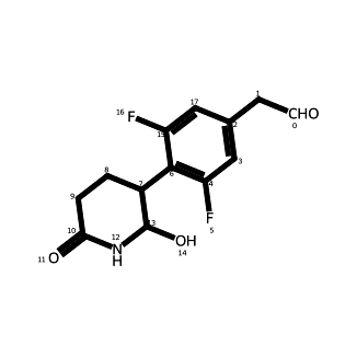 O=CCc1cc(F)c(C2CCC(=O)NC2O)c(F)c1